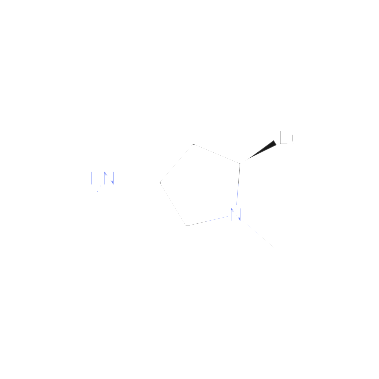 CC[C@@H]1C[C@@H](N)CN1C